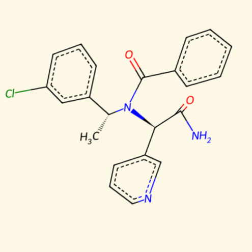 C[C@H](c1cccc(Cl)c1)N(C(=O)c1ccccc1)[C@@H](C(N)=O)c1cccnc1